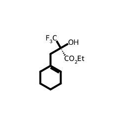 CCOC(=O)[C@](O)(CC1=CCCCC1)C(F)(F)F